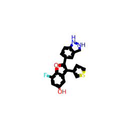 Oc1cc(F)c2oc(-c3ccc4c(c3)CNN4)c(-c3ccsc3)c2c1